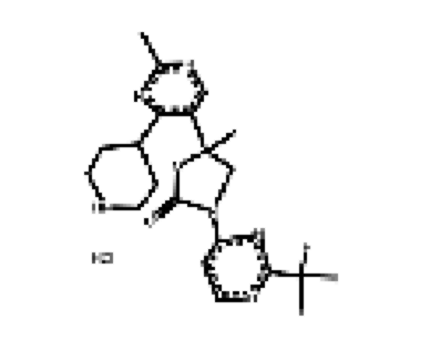 Cc1ncc(C2(C)CN(c3ccnc(C(F)(F)F)n3)C(=O)O2)c(C2CCNCC2)n1.Cl